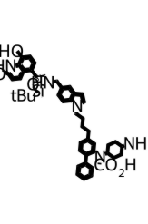 CC(C)(C)[Si](C)(C)O[C@H](CNCc1ccc2c(ccn2CCCCc2ccc(-c3ccccc3)c(N(C(=O)O)C3CCC(N)CC3)c2)c1)c1ccc(O)c2[nH]c(=O)ccc12